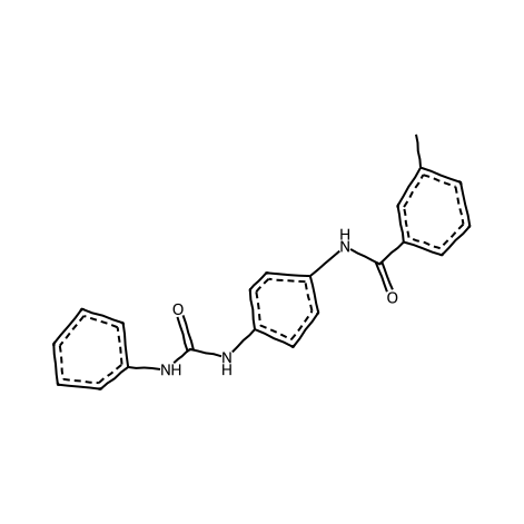 Cc1cccc(C(=O)Nc2ccc(NC(=O)Nc3ccccc3)cc2)c1